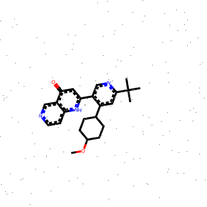 COC1CCC(c2cc(C(C)(C)C)ncc2-c2cc(=O)c3cnccc3[nH]2)CC1